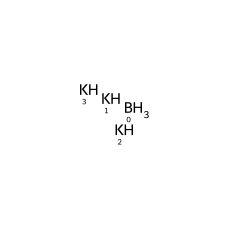 B.[KH].[KH].[KH]